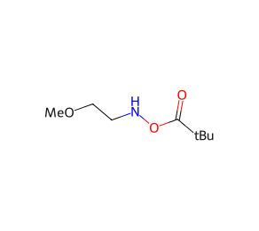 COCCNOC(=O)C(C)(C)C